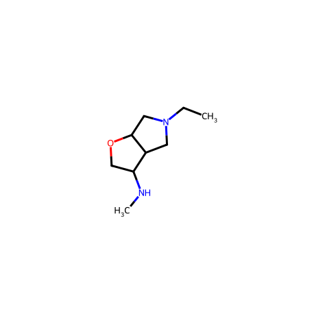 CCN1CC2OCC(NC)C2C1